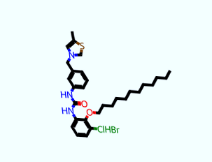 Br.CCCCCCCCCCCCOc1c(Cl)cccc1NC(=O)Nc1cccc(CN2C=C(C)SC2)c1